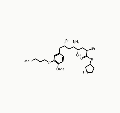 COCCCOc1cc(C[C@@H](C[C@H](N)[C@@H](O)C[C@H](C(=O)N[C@H]2CCNC2)C(C)C)C(C)C)ccc1OC